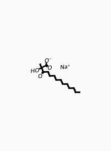 CCCCCCCCCCCC(=O)C(C)(O)C(=O)[O-].[Na+]